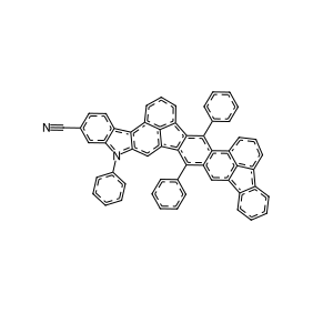 N#Cc1ccc2c3c4cccc5c6c(-c7ccccc7)c7c(cc8c9ccccc9c9cccc7c98)c(-c7ccccc7)c6c(cc3n(-c3ccccc3)c2c1)c54